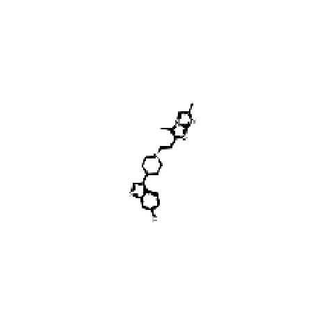 Cc1cn2c(C)c(CCN3CCC(c4csc5cc(F)ccc45)CC3)sc2n1